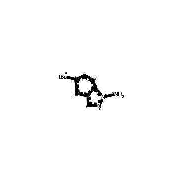 CC(C)(C)c1ccc2c(cnn2N)c1